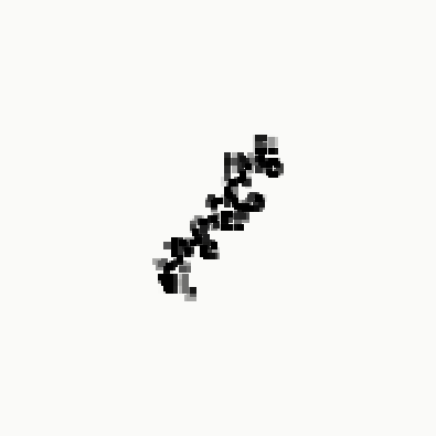 CCC(=O)NCCN(CCOC(=O)NCCN)C(=O)CC